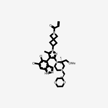 C=CC(=O)N1CC2(CC(n3nc(N4CCN(C[C@@H]5COCCO5)C[C@]4(C)COC)c(-c4c(Cl)c(Cl)cc5[nH]ncc45)c3C)C2)C1